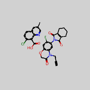 C#CCN1C(=O)COc2cc(F)c(N3C(=O)C4=C(CCCC4)C3=O)cc21.Cc1cnc2c(C(=O)O)c(Cl)ccc2c1